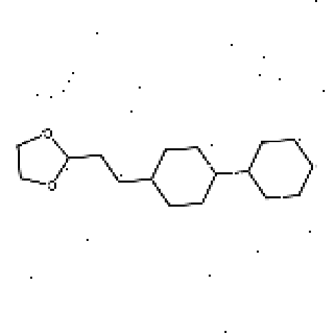 [CH]1CCC(C2CCC(CCC3OCCO3)CC2)CC1